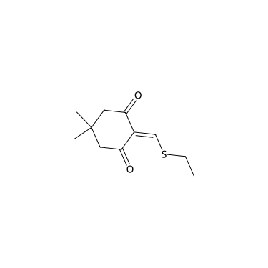 CCSC=C1C(=O)CC(C)(C)CC1=O